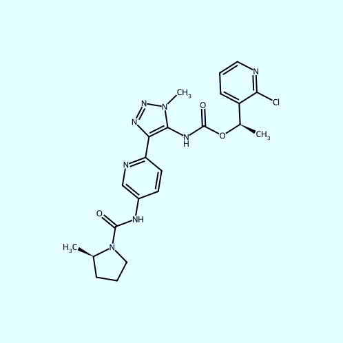 C[C@@H]1CCCN1C(=O)Nc1ccc(-c2nnn(C)c2NC(=O)O[C@H](C)c2cccnc2Cl)nc1